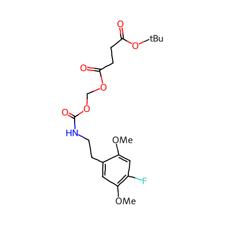 COc1cc(CCNC(=O)OCOC(=O)CCC(=O)OC(C)(C)C)c(OC)cc1F